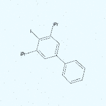 CC(C)c1cc(-c2ccccc2)cc(C(C)C)c1I